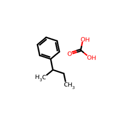 CCC(C)c1ccccc1.O=C(O)O